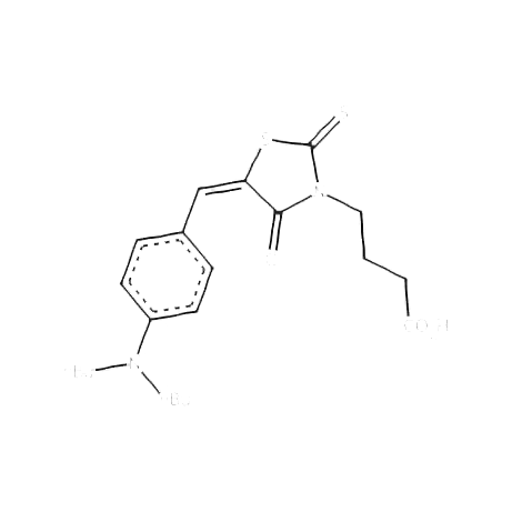 CCCCN(CCCC)c1ccc(C=C2SC(=S)N(CCCC(=O)O)C2=O)cc1